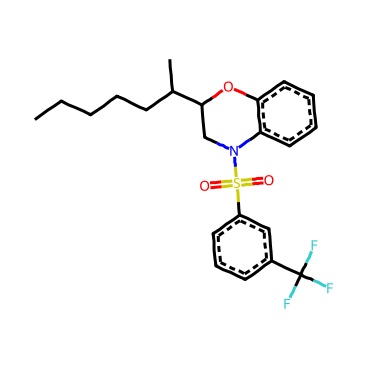 CCCCCC(C)C1CN(S(=O)(=O)c2cccc(C(F)(F)F)c2)c2ccccc2O1